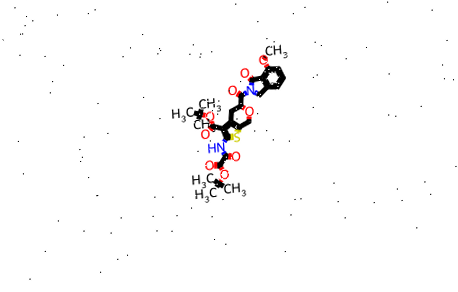 COc1cccc2c1C(=O)N(C(=O)C1Cc3c(sc(NC(=O)C(=O)OC(C)(C)C)c3C(=O)OC(C)(C)C)CO1)C2